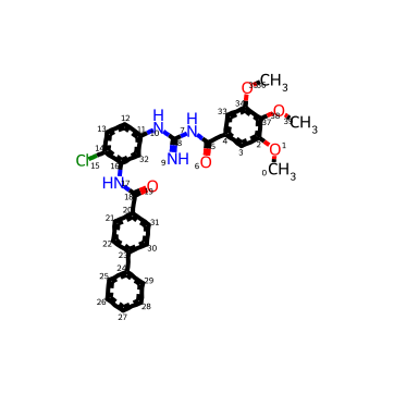 COc1cc(C(=O)NC(=N)Nc2ccc(Cl)c(NC(=O)c3ccc(-c4ccccc4)cc3)c2)cc(OC)c1OC